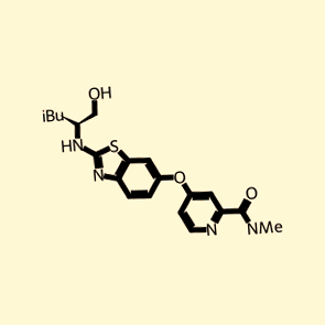 CC[C@H](C)[C@@H](CO)Nc1nc2ccc(Oc3ccnc(C(=O)NC)c3)cc2s1